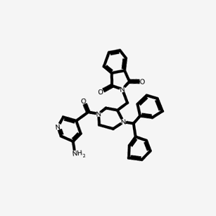 Nc1cncc(C(=O)N2CCN(C(c3ccccc3)c3ccccc3)C(CN3C(=O)c4ccccc4C3=O)C2)c1